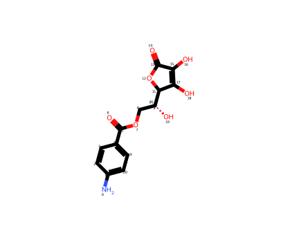 Nc1ccc(C(=O)OC[C@@H](O)C2OC(=O)C(O)=C2O)cc1